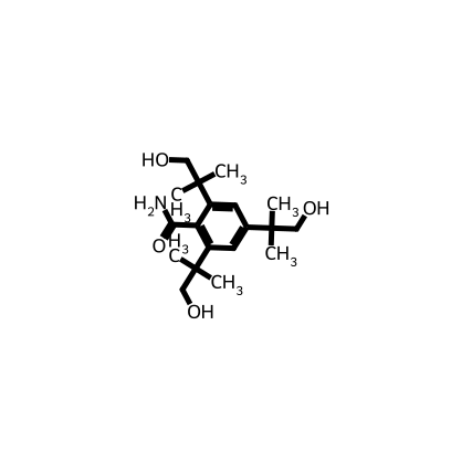 CC(C)(CO)c1cc(C(C)(C)CO)c(C(N)=O)c(C(C)(C)CO)c1